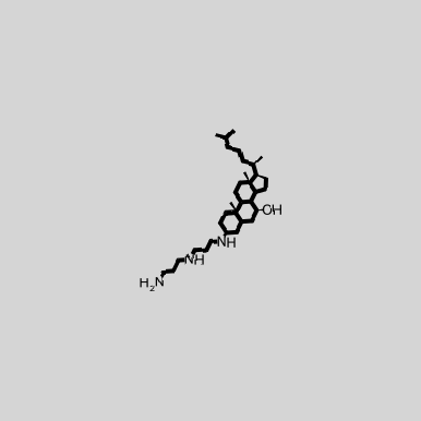 CC(C)CCC[C@@H](C)[C@H]1CCC2C3C(CC[C@@]21C)[C@@]1(C)CC[C@H](NCCCNCCCN)CC1C[C@H]3O